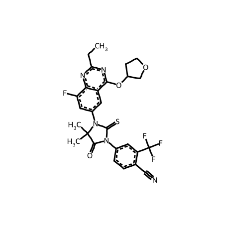 CCc1nc(OC2CCOC2)c2cc(N3C(=S)N(c4ccc(C#N)c(C(F)(F)F)c4)C(=O)C3(C)C)cc(F)c2n1